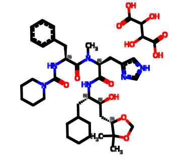 CN(C(=O)[C@H](Cc1ccccc1)NC(=O)N1CCCCC1)[C@@H](Cc1c[nH]cn1)C(=O)N[C@@H](CC1CCCCC1)[C@@H](O)C[C@@H]1OCOC1(C)C.O=C(O)C(O)C(O)C(=O)O